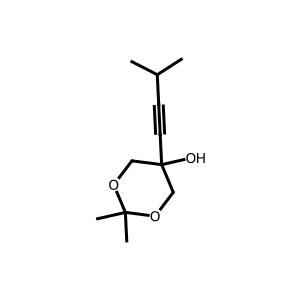 CC(C)C#CC1(O)COC(C)(C)OC1